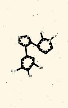 O=[N+]([O-])c1cc(-c2nnsc2-c2ccc[n+]([O-])c2C(F)(F)F)cc(O)c1O